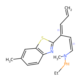 C=C/C=C(\C=C/N(C)PCC)c1nc2ccc(C)cc2s1